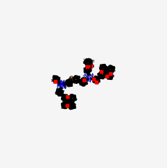 c1ccc(-c2nc(-c3cccc(-c4ccc5c(c4)-c4ccccc4C54c5ccccc5-c5ccccc54)c3)nc(-c3ccc4c(c3)sc3ccc(-c5cccc(-c6nc(-c7cccc(-c8ccc9c(c8)-c8ccccc8C98c9ccccc9-c9ccccc98)c7)nc(-c7ccc8c(c7)oc7ccccc78)n6)c5)cc34)n2)cc1